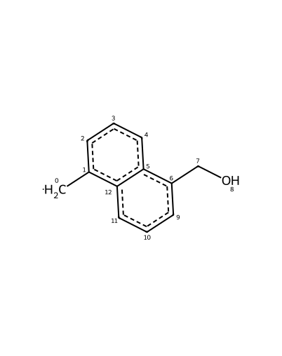 [CH2]c1cccc2c(CO)cccc12